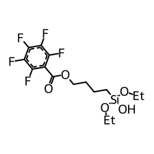 CCO[Si](O)(CCCCOC(=O)c1c(F)c(F)c(F)c(F)c1F)OCC